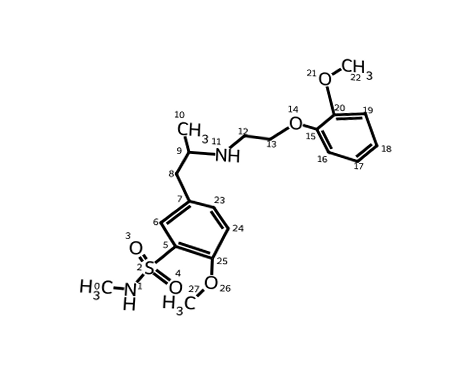 CNS(=O)(=O)c1cc(CC(C)NCCOc2ccccc2OC)ccc1OC